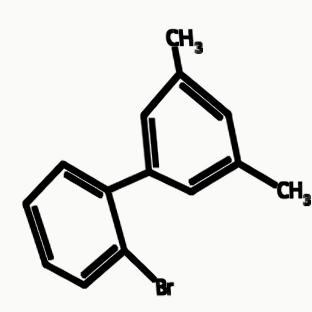 Cc1cc(C)cc(-c2ccccc2Br)c1